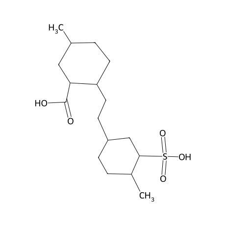 CC1CCC(CCC2CCC(C)C(S(=O)(=O)O)C2)C(C(=O)O)C1